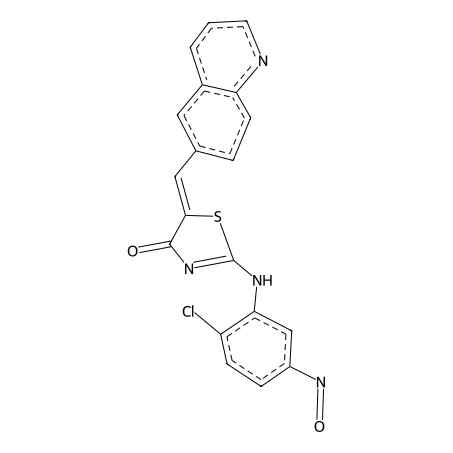 O=Nc1ccc(Cl)c(NC2=NC(=O)/C(=C/c3ccc4ncccc4c3)S2)c1